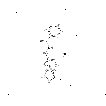 N.O=C(NNc1ccc2c3c1N=C2C=C3)c1ccccc1